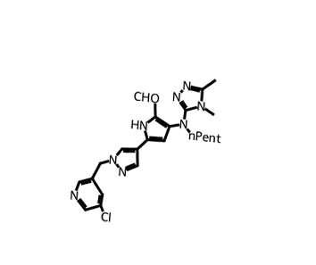 CCCCCN(c1cc(-c2cnn(Cc3cncc(Cl)c3)c2)[nH]c1C=O)c1nnc(C)n1C